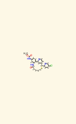 COC(=O)Nc1ccc2c(c1)NC(=O)CCCCSC(c1ccc(Cl)cn1)c1ccnc-2c1